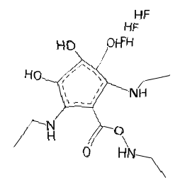 CCNOC(=O)c1c(NCC)c(O)c(O)c(O)c1NCC.F.F.F